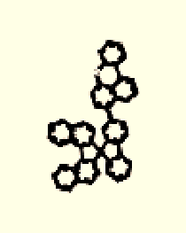 c1ccc2c(c1)Oc1ccc(-c3ccc4c(c3)C3(c5ccccc5-4)c4ccc5ccccc5c4-c4c3ccc3ccccc43)c3cccc-2c13